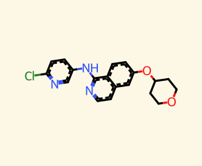 Clc1ccc(Nc2nccc3cc(OC4CCOCC4)ccc23)cn1